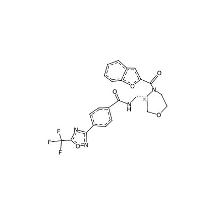 O=C(NC[C@H]1COCCN1C(=O)c1cc2ccccc2o1)c1ccc(-c2noc(C(F)(F)F)n2)cc1